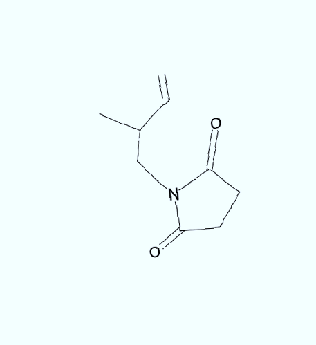 C=CC(C)CN1C(=O)CCC1=O